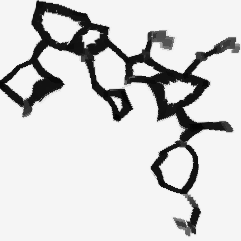 COc1cc(C(=O)N2CCC[C@@H](CN)C2)cc2nc(-c3cc4cccc(C5CCOCC5)c4n3CC3CC3)n(C)c12